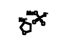 C1CCOC1.COS(=O)(=O)[S-].[Na+]